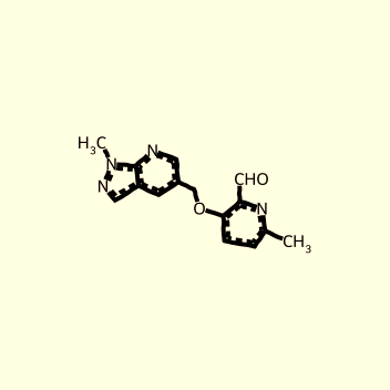 Cc1ccc(OCc2cnc3c(cnn3C)c2)c(C=O)n1